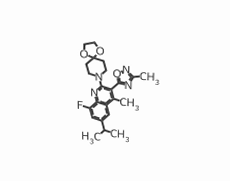 Cc1noc(-c2c(N3CCC4(CC3)OCCO4)nc3c(F)cc(C(C)C)cc3c2C)n1